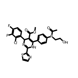 COC(=O)C1=C(c2ccc(N(CCO)C(C)=O)cc2)NC(c2nccs2)=NC1c1ccc(F)c(F)c1Cl